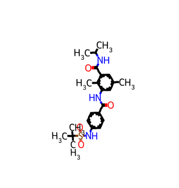 Cc1cc(NC(=O)c2ccc(NS(=O)(=O)C(C)(C)C)cc2)c(C)c(C(=O)NC(C)C)c1